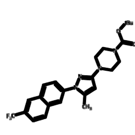 Cc1cc(N2CCN(C(=O)OC(C)(C)C)CC2)nn1-c1ccc2cc(C(F)(F)F)ccc2c1